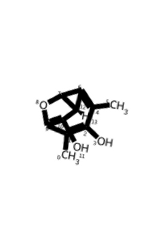 CC1=C(O)C(C)=C2C3OC1=C(O)[C@@H]23